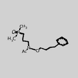 CC(=O)N(CCCP(C)(C)=O)OCCCCc1ccccc1